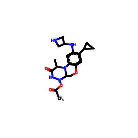 CC1C(=O)NN(OC(=O)C(F)(F)F)C2COc3cc(C4CC4)c(NC4CNC4)cc3N12